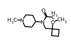 COC1(CN(C(C)=O)C2CCN(C)CC2)CCC1